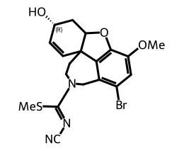 COc1cc(Br)c2c3c1OC1C[C@@H](O)C=CC31CCN(C(=NC#N)SC)C2